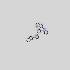 c1cc(-c2ccc3ccccc3c2)nc(-c2ccc3c4c(ccc5cccnc54)c4nc5ccccc5n4c3c2)c1